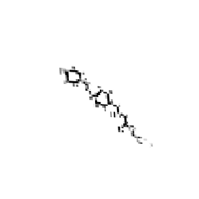 CCOC(=O)CNCc1ccc(OCc2ccc(F)cc2)cc1